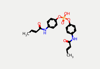 CC=CC(=O)Nc1ccc(OP(=O)(O)Oc2ccc(NC(=O)C=CC)cc2)cc1